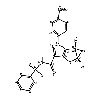 COc1ccc(-n2nc(C(=O)NC(C)(C)c3ccccc3)c3c2[C@@H]2C[C@@H]2C3)cc1